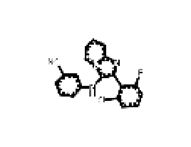 N#Cc1cccc(Nc2c(-c3c(F)cccc3Cl)nc3ccccn23)c1